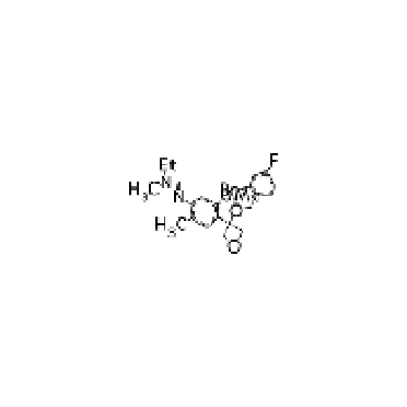 CCN(C)C=Nc1cc(OC)c(C2(OCc3ccc(F)cc3Br)COC2)cc1C